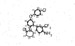 Nc1ccc(-c2cc(Oc3ccc(Cl)cc3)ccc2N2CCCCC2=O)cc1C(F)(F)F